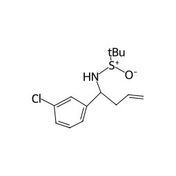 C=CCC(N[S+]([O-])C(C)(C)C)c1cccc(Cl)c1